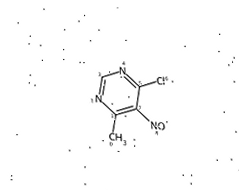 Cc1ncnc(Cl)c1N=O